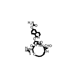 NC(=O)Oc1ccc2c(O[C@@H]3C[C@H]4C(=O)N[C@]5([C]=O)C[C@H]5/C=C\CCCCC[C@H](NC(N)=S)C(=O)N4C3)nccc2c1